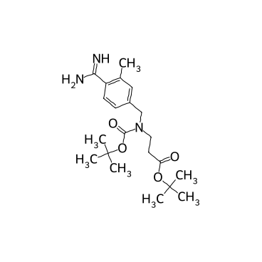 Cc1cc(CN(CCC(=O)OC(C)(C)C)C(=O)OC(C)(C)C)ccc1C(=N)N